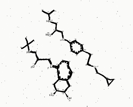 CC(C)(C)NCC(O)COc1cccc2c1C[C@H](O)[C@H](O)C2.CC(C)NCC(O)COc1ccc(CCOCC2CC2)cc1